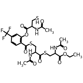 CCOC(=O)C(CSC(=O)C(CSC(=O)c1ccc(C(F)(F)F)cc1OC(=O)C(CS)NC(C)=O)NC(C)=O)NC(C)=O